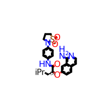 CC(C)C[C@H](Oc1ccc2ccnc(N)c2c1)C(=O)Nc1ccc(N2CCCS2(=O)=O)cc1